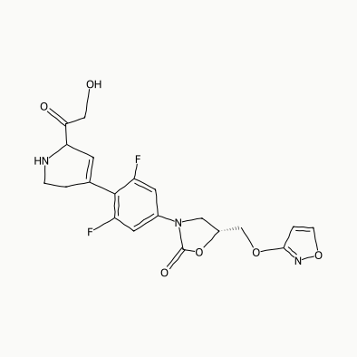 O=C(CO)C1C=C(c2c(F)cc(N3C[C@H](COc4ccon4)OC3=O)cc2F)CCN1